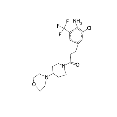 Nc1c(Cl)cc(CCC(=O)N2CCC(N3CCOCC3)CC2)cc1C(F)(F)F